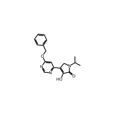 CC(C)N1CC(c2cc(OCc3ccccc3)ncn2)=C(O)C1=O